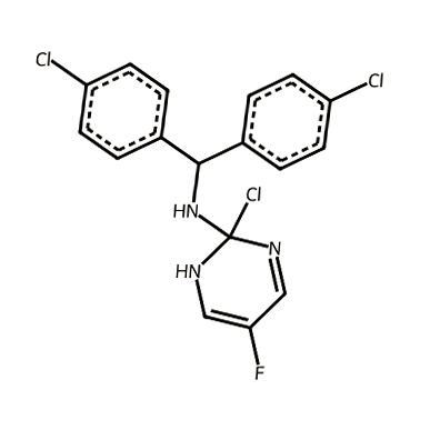 FC1=CNC(Cl)(NC(c2ccc(Cl)cc2)c2ccc(Cl)cc2)N=C1